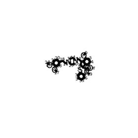 COc1ccc(OC)c(C2(CCCN3CCN(CCc4ccc(OC)c(OC)c4)CC3)Sc3ccccc3N(C)C2=O)c1